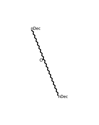 CCCCCCCCCCCCCCCCCCCCCCCCCCCCCCC(=O)CCCCCCCCCCCCCCCCCCCCCCCCCC